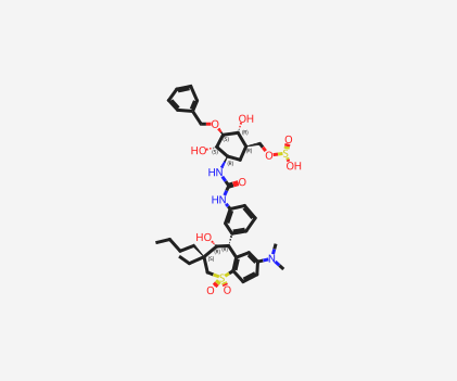 CCCC[C@]1(CC)CS(=O)(=O)c2ccc(N(C)C)cc2[C@@H](c2cccc(NC(=O)N[C@@H]3C[C@H](COS(=O)O)[C@@H](O)[C@H](OCc4ccccc4)[C@H]3O)c2)[C@H]1O